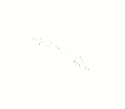 O=C(COc1ccc2c(ccn2Cc2ccc(C(=O)O)cc2)c1)Nc1ccc(Cl)cc1Cl